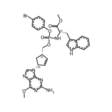 COC(=O)[C@H](Cc1c[nH]c2ccccc12)NP(=O)(OC[C@@H]1C=C[C@H](n2cnc3c(OC)nc(N)nc32)C1)Oc1ccc(Br)cc1